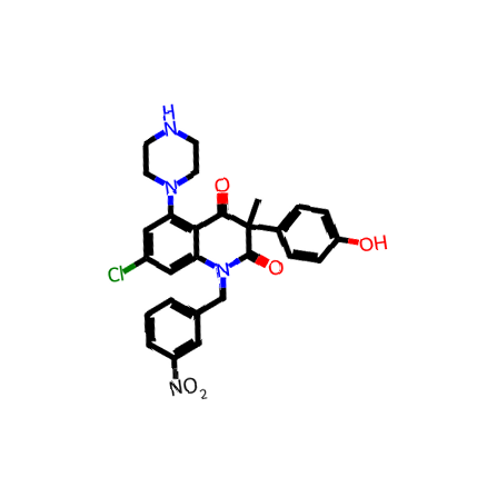 CC1(c2ccc(O)cc2)C(=O)c2c(N3CCNCC3)cc(Cl)cc2N(Cc2cccc([N+](=O)[O-])c2)C1=O